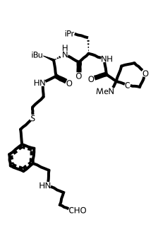 CC[C@H](C)[C@H](NC(=O)[C@H](CC(C)C)NC(=O)C1(NC)CCOCC1)C(=O)NCCSCc1cccc(CNCCC=O)c1